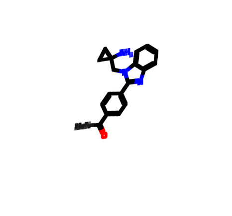 CNC(=O)c1ccc(-c2nc3ccccc3n2CC2(N)CC2)cc1